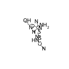 N#Cc1ccc(Nc2nc(CSc3nc(N)c(C#N)c(-c4ccc(CCCO)nc4)c3C#N)cs2)cc1